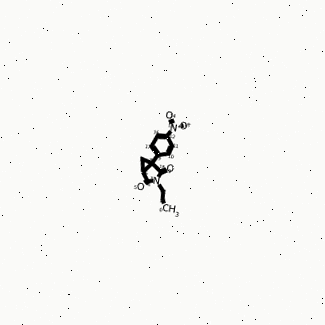 CCCN1C(=O)C2CC2(c2ccc([N+](=O)[O-])cc2)C1=O